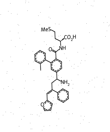 CSCC[C@H](NC(=O)c1ccc(C(N)CC(=Cc2ccco2)c2ccccc2)cc1-c1ccccc1C)C(=O)O